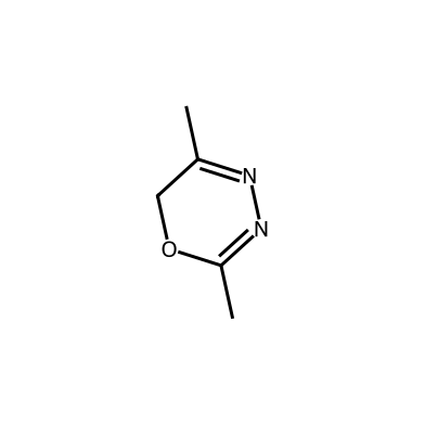 CC1=NN=C(C)OC1